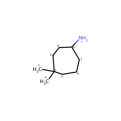 CC1(C)CCCC(N)CC1